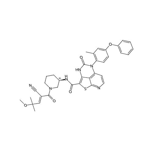 COC(C)(C)C=C(C#N)C(=O)N1CCC[C@@H](NC(=O)c2sc3nccc4c3c2NC(=O)N4c2ccc(Oc3ccccc3)cc2C)C1